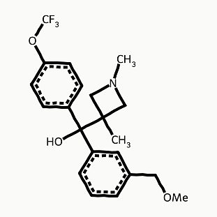 COCc1cccc(C(O)(c2ccc(OC(F)(F)F)cc2)C2(C)CN(C)C2)c1